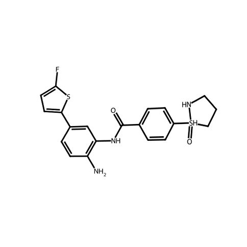 Nc1ccc(-c2ccc(F)s2)cc1NC(=O)c1ccc([SH]2(=O)CCCN2)cc1